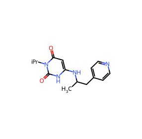 CC(Cc1ccncc1)Nc1cc(=O)n(C(C)C)c(=O)[nH]1